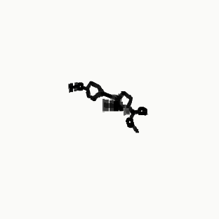 COC(=O)[C@@H]1CC[C@H](c2ccc(O)cc2)N1